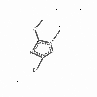 COc1nc(Br)cn1C